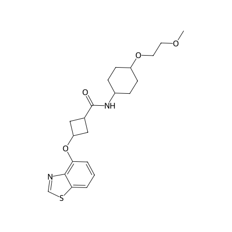 COCCOC1CCC(NC(=O)C2CC(Oc3cccc4scnc34)C2)CC1